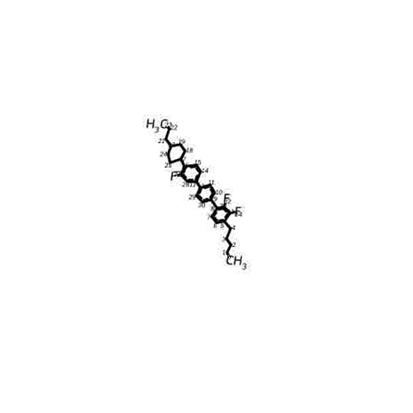 CCCCCc1ccc(-c2ccc(-c3ccc(C4CCC(CCC)CC4)c(F)c3)cc2)c(F)c1F